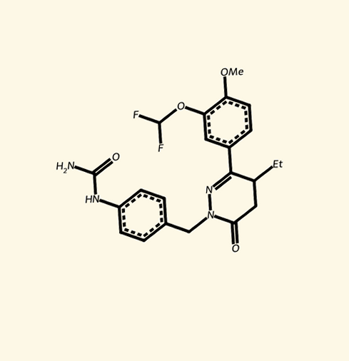 CCC1CC(=O)N(Cc2ccc(NC(N)=O)cc2)N=C1c1ccc(OC)c(OC(F)F)c1